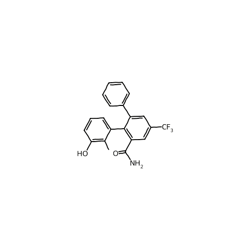 Cc1c(O)cccc1-c1c(C(N)=O)cc(C(F)(F)F)cc1-c1ccccc1